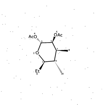 CC[C@H]1O[C@H](OC(C)=O)[C@@H](OC(C)=O)[C@@H](C)[C@@H]1C